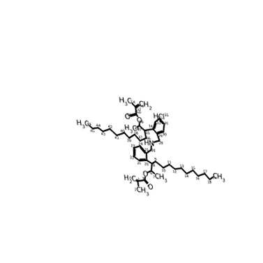 C=C(C)C(=O)OC(C)C(CCCCCCCCCCC)c1ccccc1CNCc1ccccc1C(CCCCCCCCCCC)C(C)OC(=O)C(=C)C.Cl